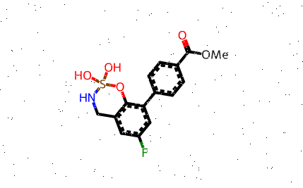 COC(=O)c1ccc(-c2cc(F)cc3c2OS(O)(O)NC3)cc1